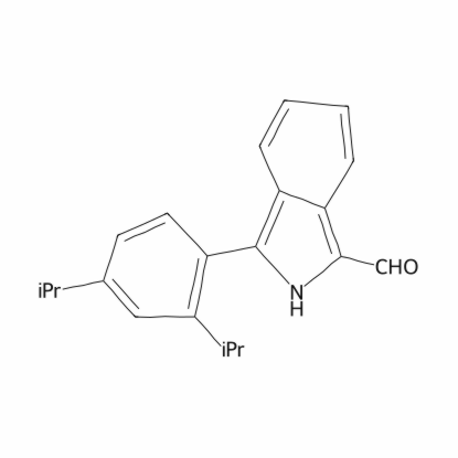 CC(C)c1ccc(-c2[nH]c(C=O)c3ccccc23)c(C(C)C)c1